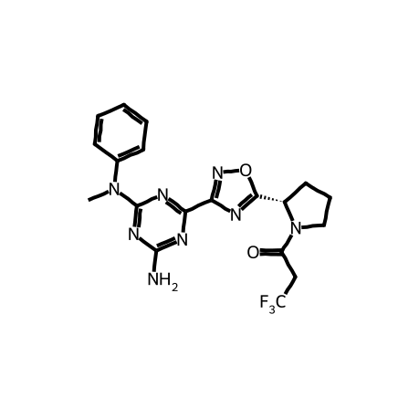 CN(c1ccccc1)c1nc(N)nc(-c2noc([C@@H]3CCCN3C(=O)CC(F)(F)F)n2)n1